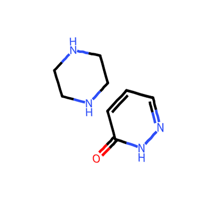 C1CNCCN1.O=c1cccn[nH]1